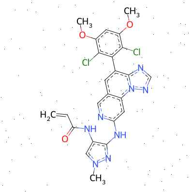 C=CC(=O)Nc1cn(C)nc1Nc1cc2c(cn1)cc(-c1c(Cl)c(OC)cc(OC)c1Cl)c1ncnn12